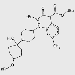 CCCOC1CCC(C)(N2CCC(Nc3cc(C)ccc3C(C(=O)OC(C)(C)C)C(=O)OC(C)(C)C)CC2)CC1